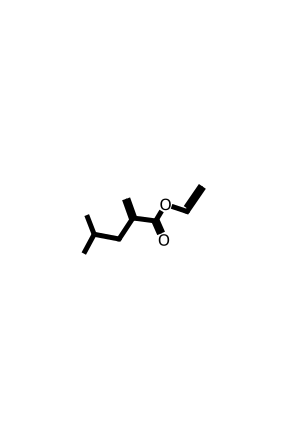 C=COC(=O)C(=C)CC(C)C